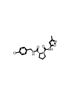 Cc1cc(NC(=O)N2CCC[C@H]2C(=O)NCc2ccc(Cl)cc2)on1